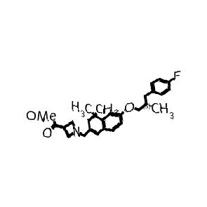 COC(=O)C1CN(CC2=Cc3ccc(OC[C@@H](C)Cc4ccc(F)cc4)cc3C(C)(C)C2)C1